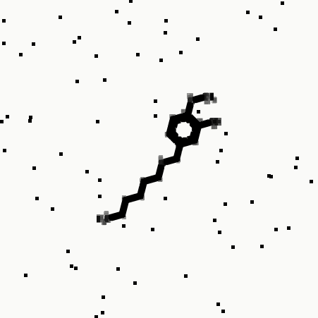 CCCCCCOCc1ccc(OC)c(O)c1